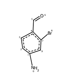 Nc1ccc(C=O)c(Br)c1